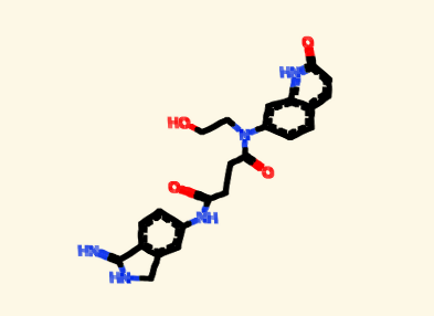 N=C1NCc2cc(NC(=O)CCC(=O)N(CCO)c3ccc4ccc(=O)[nH]c4c3)ccc21